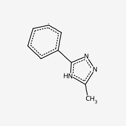 Cc1nnc(-c2c[c]ccc2)[nH]1